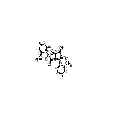 COc1ccccc1C1=C2C(=O)[N+](C)(c3ccccc3OC)C=C2C(=O)N1C